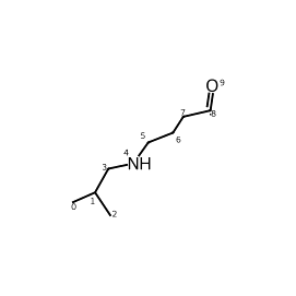 CC(C)CNCCC[C]=O